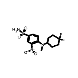 CN(c1ccc(S(N)(=O)=O)cc1[N+](=O)[O-])C1CCC(F)(F)CC1